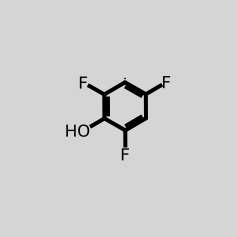 Oc1c(F)[c]c(F)cc1F